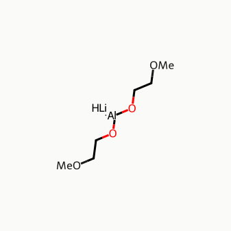 COCC[O][Al][O]CCOC.[LiH]